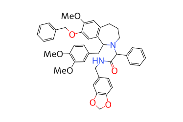 COc1ccc(CC2c3cc(OCc4ccccc4)c(OC)cc3CCCN2C(C(=O)NCc2ccc3c(c2)OCO3)c2ccccc2)cc1OC